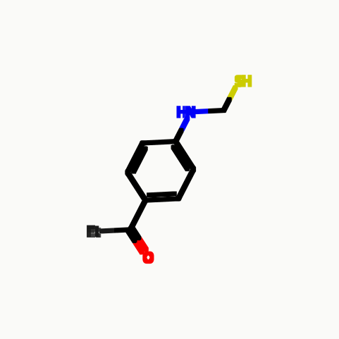 CCC(=O)c1ccc(NCS)cc1